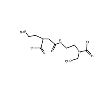 CCC(=O)N(CC=O)CCNC(=O)CN(CCNC)C(=O)CC